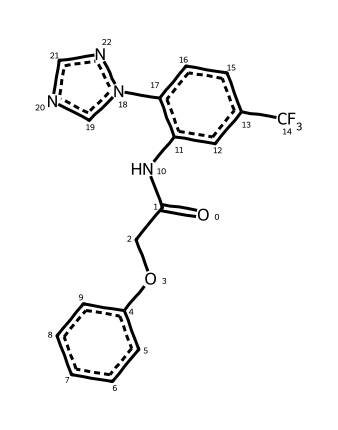 O=C(COc1ccccc1)Nc1cc(C(F)(F)F)ccc1-n1cncn1